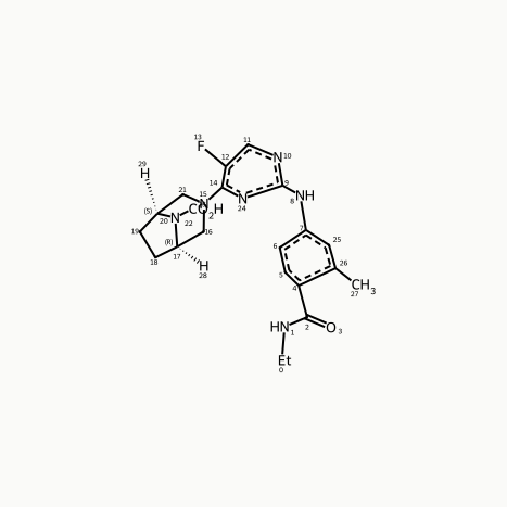 CCNC(=O)c1ccc(Nc2ncc(F)c(N3C[C@H]4CC[C@@H](C3)N4C(=O)O)n2)cc1C